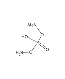 BOP(=O)(O)ONC